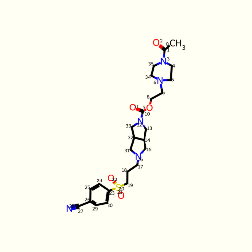 CC(=O)N1CCN(CCOC(=O)N2CC3CN(CCCS(=O)(=O)c4ccc(C#N)cc4)CC3C2)CC1